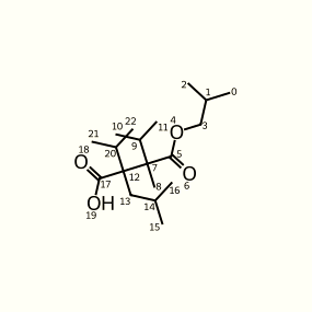 CC(C)COC(=O)C(C)(C(C)C)C(CC(C)C)(C(=O)O)C(C)C